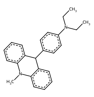 CCN(CC)c1ccc(C2c3ccccc3N(C)c3ccccc32)cc1